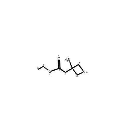 CCOC(=O)CC1(N)CSC1